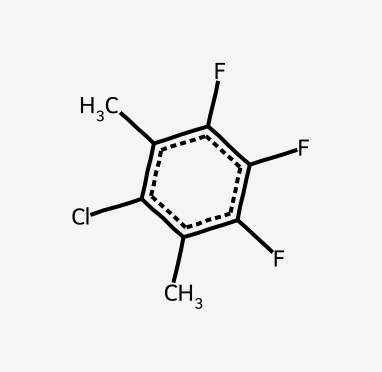 Cc1c(F)c(F)c(F)c(C)c1Cl